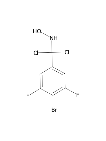 ONC(Cl)(Cl)c1cc(F)c(Br)c(F)c1